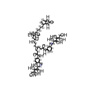 CCC(CC)(CC(=O)NCCN(CCC(=O)Nc1cccc(/N=C\C(O)[C@H](O)[C@H](O)C(O)CO)c1)CCC(=O)Nc1cccc(/N=C/C(O)[C@H](O)[C@H](O)C(O)CO)c1)NC(=O)CCCCC1SCC2NC(=O)NC21